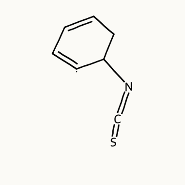 S=C=NC1[C]=CC=CC1